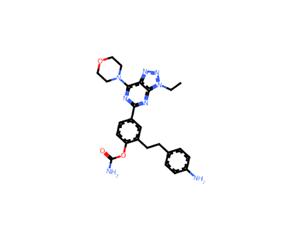 CCn1nnc2c(N3CCOCC3)nc(-c3ccc(OC(N)=O)c(CCc4ccc(N)cc4)c3)nc21